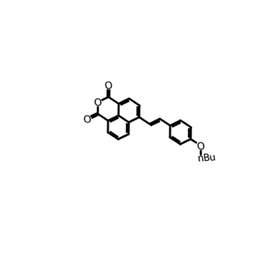 CCCCOc1ccc(/C=C/c2ccc3c4c(cccc24)C(=O)OC3=O)cc1